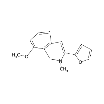 COc1cccc2c1CN(C)C(c1ccco1)=C2